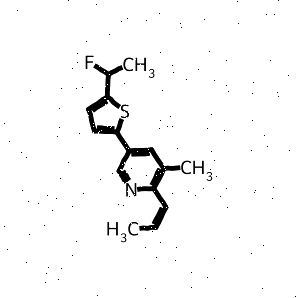 C/C=C\c1ncc(-c2ccc(C(C)F)s2)cc1C